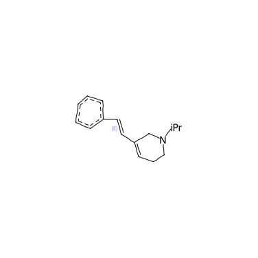 CC(C)N1CCC=C(/C=C/c2ccccc2)C1